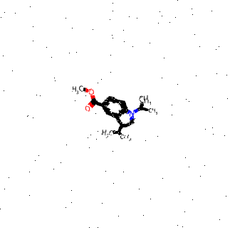 COC(=O)c1ccc2c(c1)C(C(C)C)CN2C(C)C